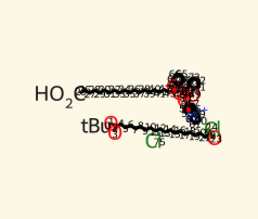 CC(C)(C)OC(=O)CCCCCCCCCCCCCCCCCCC(=O)Cl.O=C(O)CCCCCCCCCCCCCCCCCCC(=O)OC(C(=O)OC1CC2CCC(C1)[N+]21CCCC1)(c1ccccc1)c1ccccc1.[Cl-]